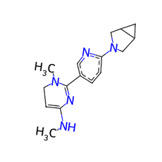 CNC1=CCN(C)C(c2ccc(N3CC4CC4C3)nc2)=N1